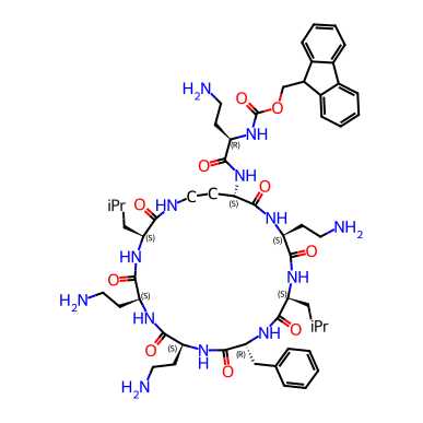 CC(C)C[C@@H]1NC(=O)[C@H](CCN)NC(=O)[C@H](CCN)NC(=O)[C@@H](Cc2ccccc2)NC(=O)[C@H](CC(C)C)NC(=O)[C@H](CCN)NC(=O)[C@@H](NC(=O)[C@@H](CCN)NC(=O)OCC2c3ccccc3-c3ccccc32)CCNC1=O